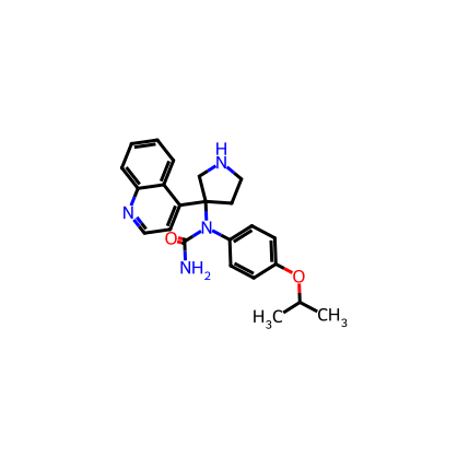 CC(C)Oc1ccc(N(C(N)=O)C2(c3ccnc4ccccc34)CCNC2)cc1